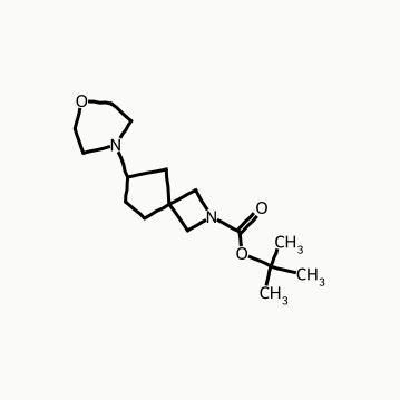 CC(C)(C)OC(=O)N1CC2(CCC(N3CCOCC3)C2)C1